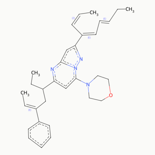 C\C=C/C(=C\C=C\CC)c1cc2nc(C(CC)C/C(=C\C)c3ccccc3)cc(N3CCOCC3)n2n1